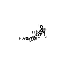 Cc1[nH]c(/C=C2\C(=O)Nc3ccc(F)cc32)c(C)c1C(=O)NCCC(O)CC(O)CC(=O)N1CCN(C)CC1